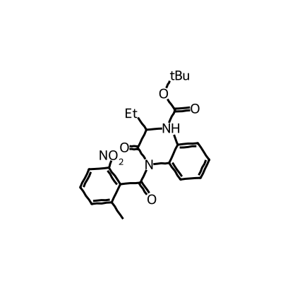 CCC(NC(=O)OC(C)(C)C)C(=O)N(C(=O)c1c(C)cccc1[N+](=O)[O-])c1ccccc1C